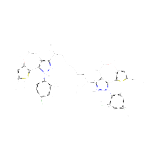 O=S(=O)(O)c1cc2c(s1)-c1c(c(C(CCCCCC(c3nn(-c4ccc(Cl)cc4Cl)c4c3CCOc3cc(S(=O)(=O)O)sc3-4)C(F)(F)F)C(F)(F)F)nn1-c1ccc(Cl)cc1Cl)CCO2